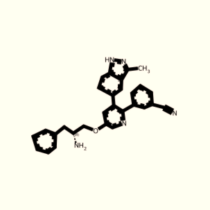 Cc1n[nH]c2ccc(-c3cc(OC[C@H](N)Cc4ccccc4)cnc3-c3cccc(C#N)c3)cc12